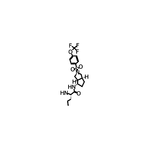 CCC[C@H](NC)C(=O)N[C@H]1CC[C@@H]2CN(S(=O)(=O)c3ccc(OC(F)(F)F)cc3)C[C@@H]21